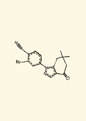 CC1(C)CC(=O)c2cnn(-c3ccc(C#N)c(Br)c3)c2C1